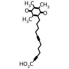 CC1=C(C)C(=O)C(CCCCC#CCCCC#CC(=O)O)=C(C)C1=O